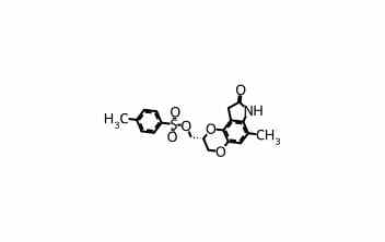 Cc1ccc(S(=O)(=O)OC[C@H]2COc3cc(C)c4c(c3O2)CC(=O)N4)cc1